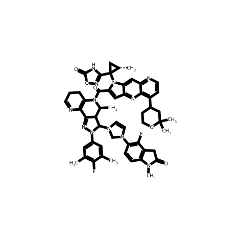 Cc1cc(N2N=C3C4=C(CCC=N4)N(C(=O)c4cc5nc6c(C7CCOC(C)(C)C7)ccnc6cc5n4C4(c5noc(=O)[nH]5)C[C@@H]4C)C(C)C3C2N2C=CN(c3ccc4c(c3F)CC(=O)N4C)C2)cc(C)c1F